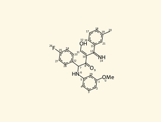 COc1cccc(NC(C(=O)/C(=C/O)C(=N)c2cccc(C)c2)c2ccc(F)cc2)c1